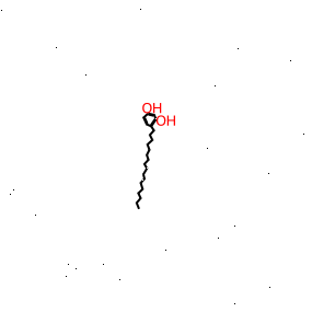 CCCCCCCCCCCCCCCCCc1ccc(O)cc1O